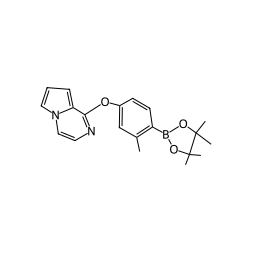 Cc1cc(Oc2nccn3cccc23)ccc1B1OC(C)(C)C(C)(C)O1